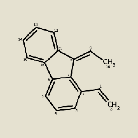 C=Cc1cccc2c1/C(=C\C)c1ccccc1-2